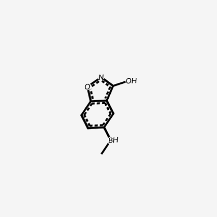 CBc1ccc2onc(O)c2c1